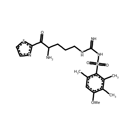 COc1cc(C)c(S(=O)(=O)NC(=N)NCCCC(N)C(=O)c2nccs2)c(C)c1C